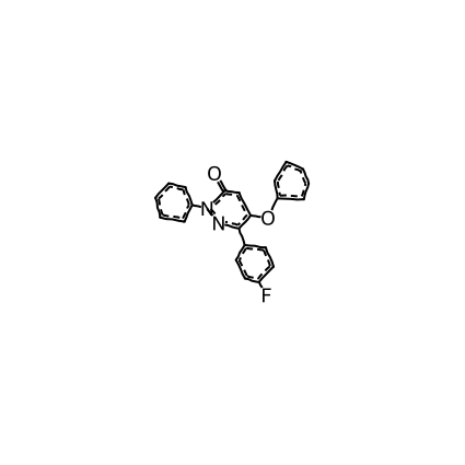 O=c1cc(Oc2ccccc2)c(-c2ccc(F)cc2)nn1-c1ccccc1